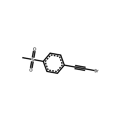 CS(=O)(=O)c1ccc(C#CBr)cc1